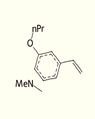 C=Cc1cccc(OCCC)c1.CNC